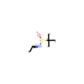 C/C=N/[S+]([O-])C(C)(C)C